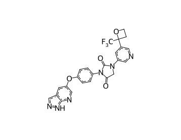 O=C1CN(c2cncc(C3(C(F)(F)F)CCO3)c2)C(=O)N1c1ccc(Oc2cnc3[nH]ncc3c2)cc1